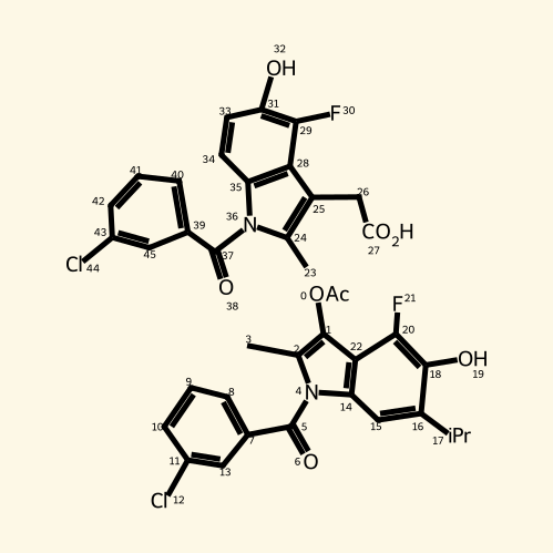 CC(=O)Oc1c(C)n(C(=O)c2cccc(Cl)c2)c2cc(C(C)C)c(O)c(F)c12.Cc1c(CC(=O)O)c2c(F)c(O)ccc2n1C(=O)c1cccc(Cl)c1